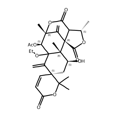 C=C1[C@]23C(=O)O[C@@H](C)C2C(=O)O[C@@]1(C)[C@H](OC(C)=O)C1(OCC)C(=C)[C@@]2(C=CC(=O)OC2(C)C)C[C@H](O)[C@]13C